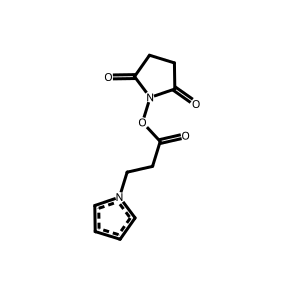 O=C(CCn1cccc1)ON1C(=O)CCC1=O